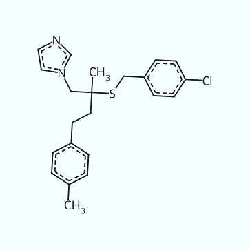 Cc1ccc(CCC(C)(Cn2ccnc2)SCc2ccc(Cl)cc2)cc1